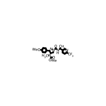 COC(=O)N(C)[C@@H]1CN(C(=O)NC(C)c2ccc(C(F)(F)F)nc2)N=C1c1ccc(OC)cc1